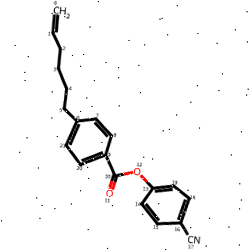 C=CCCCCc1ccc(C(=O)Oc2ccc(C#N)cc2)cc1